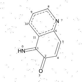 N=C1C(=O)C=Cc2ncccc21